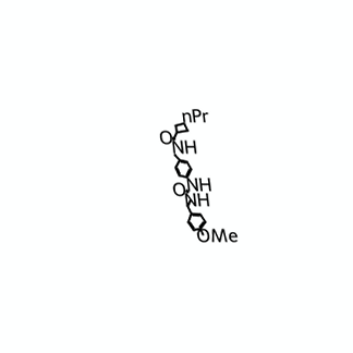 CCCC1CC(C(=O)NCc2ccc(NC(=O)NCc3ccc(OC)cc3)cc2)C1